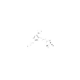 COCCOc1ccc(C(=O)OC)c(OCCC(N=C=O)OC(C)(C)C)c1